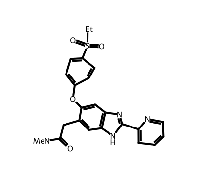 CCS(=O)(=O)c1ccc(Oc2cc3nc(-c4ccccn4)[nH]c3cc2CC(=O)NC)cc1